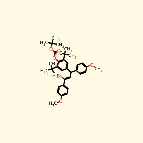 COc1ccc(C(Br)=CC(c2ccc(OC)cc2)c2cc(C(C)(C)C)c(OC(=O)OC(C)(C)C)c(C(C)(C)C)c2)cc1